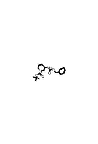 CC(C)(C)OC(=O)N1CC=CC(NC(=O)OCc2ccccc2)C1